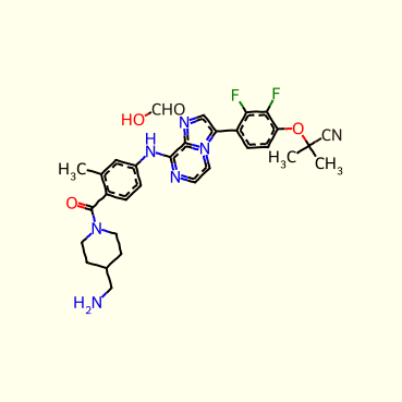 Cc1cc(Nc2nccn3c(-c4ccc(OC(C)(C)C#N)c(F)c4F)cnc23)ccc1C(=O)N1CCC(CN)CC1.O=CO